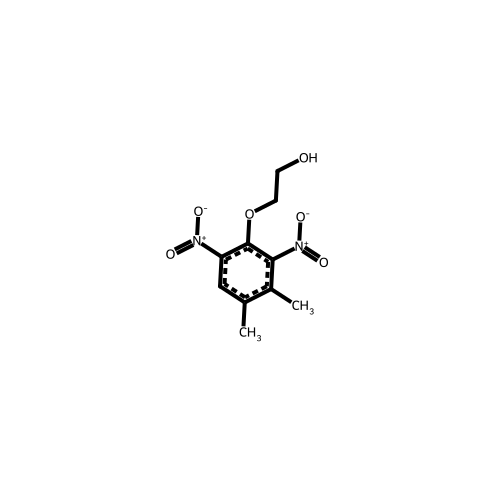 Cc1cc([N+](=O)[O-])c(OCCO)c([N+](=O)[O-])c1C